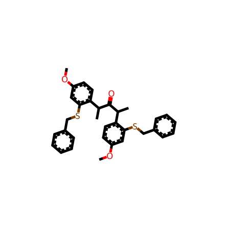 COc1ccc(C(C)C(=O)C(C)c2ccc(OC)cc2SCc2ccccc2)c(SCc2ccccc2)c1